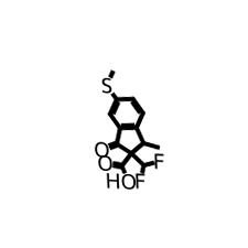 CSc1ccc2c(c1)C(=O)C(C(=O)O)(C(F)F)C2C